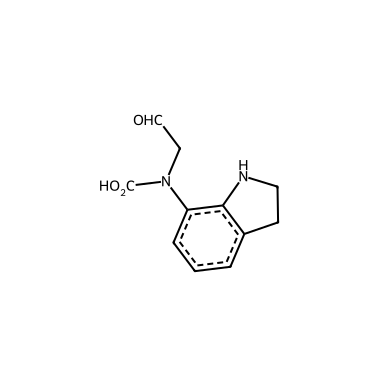 O=CCN(C(=O)O)c1cccc2c1NCC2